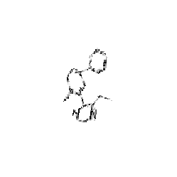 CCc1nccnc1-c1cc(-c2ccccc2)ccc1C